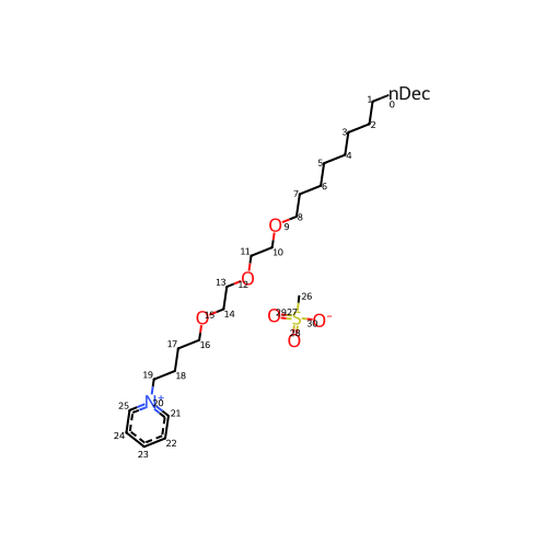 CCCCCCCCCCCCCCCCCCOCCOCCOCCCC[n+]1ccccc1.CS(=O)(=O)[O-]